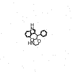 Clc1cccc2[nH]cc(C(c3ccccc3)C3CNCCO3)c12